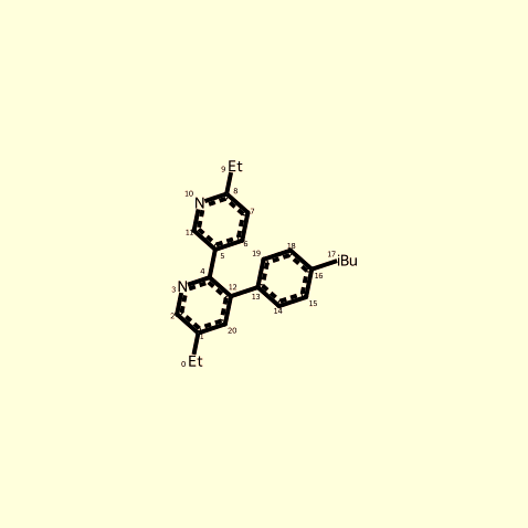 CCc1cnc(-c2ccc(CC)nc2)c(-c2ccc(C(C)CC)cc2)c1